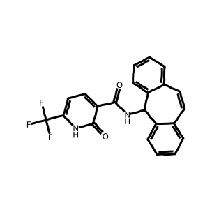 O=C(NC1c2ccccc2C=Cc2ccccc21)c1ccc(C(F)(F)F)[nH]c1=O